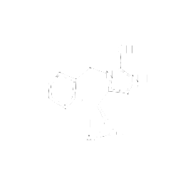 C=Cc1c[nH]c(C)[n+]1Cc1ccccc1.CC(=O)[O-]